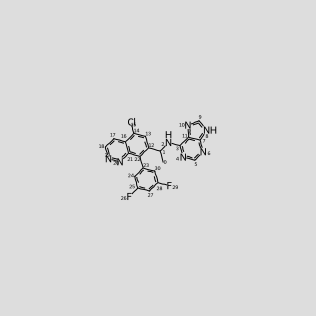 CC(Nc1ncnc2[nH]cnc12)c1cc(Cl)c2ccnnc2c1-c1cc(F)cc(F)c1